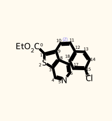 CCOC(=O)c1sc2cnccc2c1/C=C\c1ccc(Cl)cc1